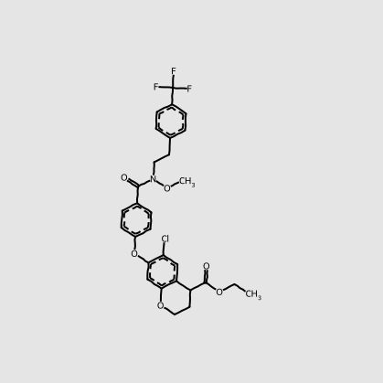 CCOC(=O)C1CCOc2cc(Oc3ccc(C(=O)N(CCc4ccc(C(F)(F)F)cc4)OC)cc3)c(Cl)cc21